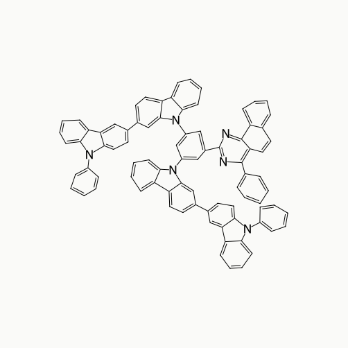 c1ccc(-c2nc(-c3cc(-n4c5ccccc5c5ccc(-c6ccc7c(c6)c6ccccc6n7-c6ccccc6)cc54)cc(-n4c5ccccc5c5ccc(-c6ccc7c(c6)c6ccccc6n7-c6ccccc6)cc54)c3)nc3c2ccc2ccccc23)cc1